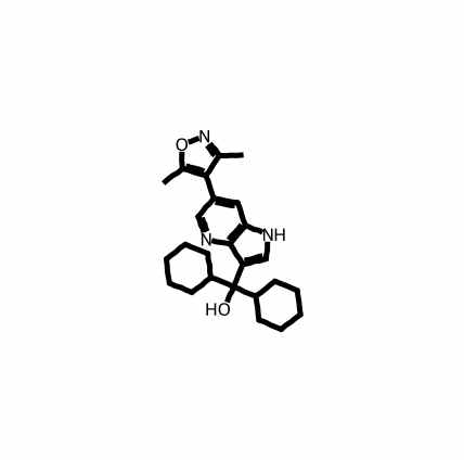 Cc1noc(C)c1-c1cnc2c(C(O)(C3CCCCC3)C3CCCCC3)c[nH]c2c1